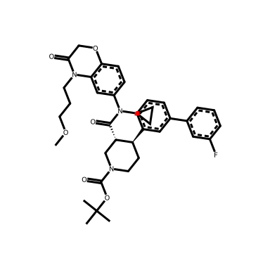 COCCCN1C(=O)COc2ccc(N(C(=O)[C@H]3CN(C(=O)OC(C)(C)C)CC[C@@H]3c3cccc(-c4cccc(F)c4)c3)C3CC3)cc21